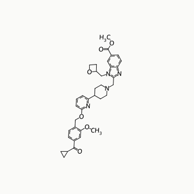 COC(=O)c1ccc2nc(CN3CCC(c4cccc(OCc5ccc(C(=O)C6CC6)cc5OC)n4)CC3)n(CC3CCO3)c2c1